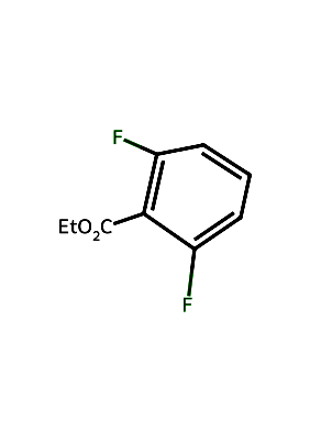 CCOC(=O)c1c(F)cccc1F